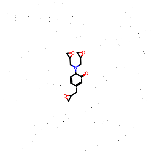 O=C1C=C(CC2CO2)C=CC1N(CC1CO1)CC1CO1